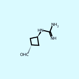 N=C(N)N[C@H]1C[C@H](C=O)C1